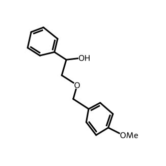 COc1ccc(COCC(O)c2ccccc2)cc1